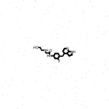 O=C(CNCCO)Nc1ccc(Cc2ccnc3[nH]ccc23)c(F)c1